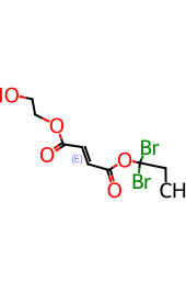 CCC(Br)(Br)OC(=O)/C=C/C(=O)OCCO